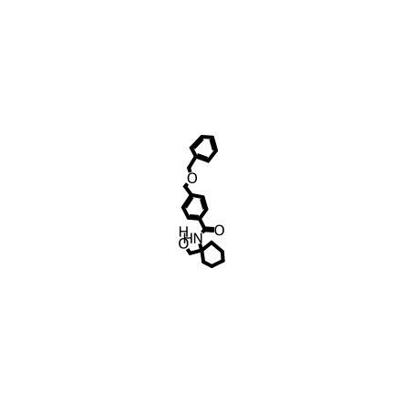 O=C(NC1(CO)CCCCC1)c1ccc(COCc2ccccc2)cc1